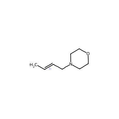 [CH2]/C=C/CN1CCOCC1